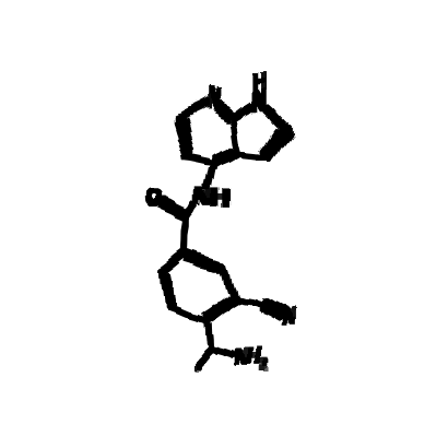 CC(N)c1ccc(C(=O)Nc2ccnc3[nH]ccc23)cc1C#N